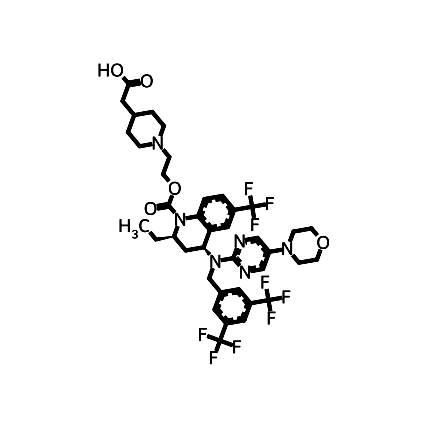 CC[C@@H]1C[C@H](N(Cc2cc(C(F)(F)F)cc(C(F)(F)F)c2)c2ncc(N3CCOCC3)cn2)c2cc(C(F)(F)F)ccc2N1C(=O)OCCN1CCC(CC(=O)O)CC1